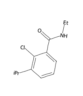 CCNC(=O)c1cccc(C(C)C)c1Cl